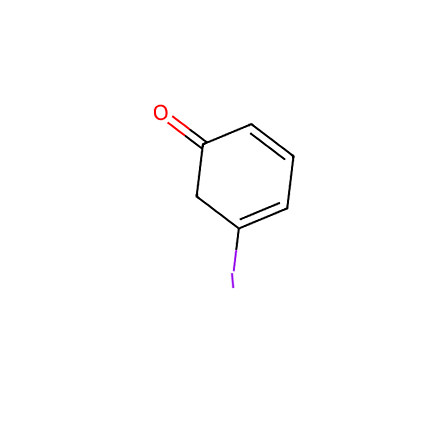 O=C1C=CC=C(I)C1